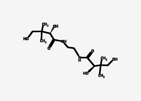 CC(C)(CO)[C@H](O)C(=O)NCCNC(=O)[C@H](O)C(C)(C)CO